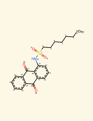 CCCCCCCCCCCCCCCCS(=O)(=O)Nc1cccc2c1C(=O)c1ccccc1C2=O